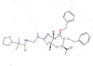 CC(=O)[C@H]1O[C@@H]2SC(N(C)CN[S+]([O-])C(C)(C)C3CCCO3)=N[C@@H]2[C@@H](OCc2ccccc2)[C@@H]1OCc1ccccc1